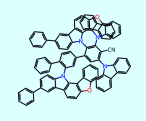 N#Cc1c(-n2c3ccccc3c3ccccc32)cc(-c2ccc(-c3ccccc3)c(-n3c4ccc(-c5ccccc5)cc4c4ccc5oc6ccccc6c5c43)c2)c(-n2c3ccc(-c4ccccc4)cc3c3ccc4oc5ccccc5c4c32)c1-n1c2ccccc2c2ccccc21